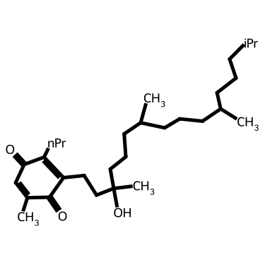 CCCC1=C(CCC(C)(O)CCCC(C)CCCC(C)CCCC(C)C)C(=O)C(C)=CC1=O